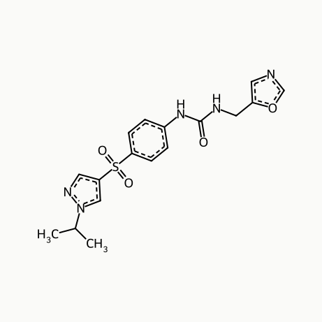 CC(C)n1cc(S(=O)(=O)c2ccc(NC(=O)NCc3cnco3)cc2)cn1